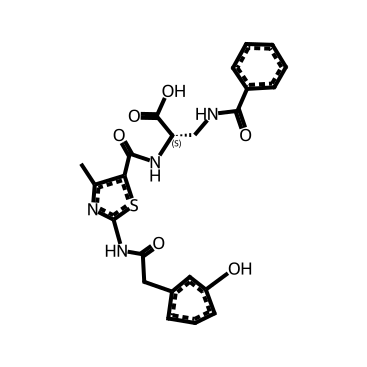 Cc1nc(NC(=O)Cc2cccc(O)c2)sc1C(=O)N[C@@H](CNC(=O)c1ccccc1)C(=O)O